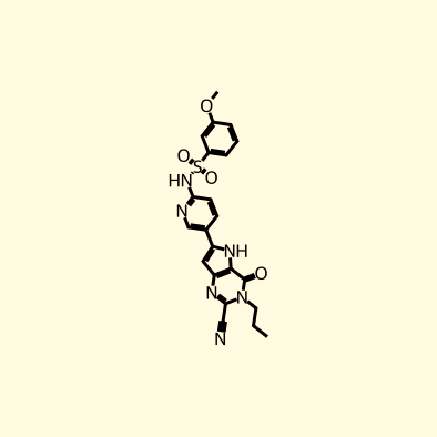 CCCn1c(C#N)nc2cc(-c3ccc(NS(=O)(=O)c4cccc(OC)c4)nc3)[nH]c2c1=O